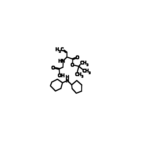 C1CCC(NC2CCCCC2)CC1.C=CC(NCC(=O)O)C(=O)OC(C)(C)C